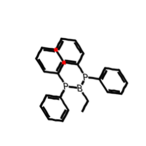 CCB(P(c1ccccc1)c1ccccc1)P(c1ccccc1)c1ccccc1